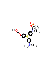 CCOCCOc1ccc([S+](c2ccc(N(C)C)cc2)c2ccc(N(C)C)cc2)cc1.O=S(=O)([O-])CC(F)(F)F